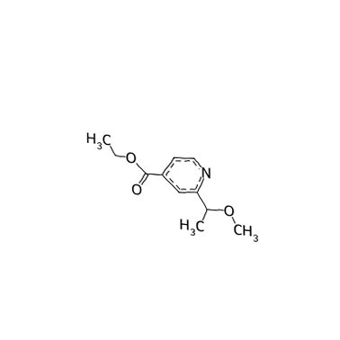 CCOC(=O)c1ccnc(C(C)OC)c1